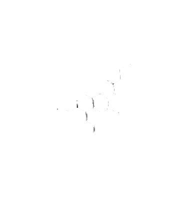 C=C/C=C(/C(=O)OCCC)C1=C(C)C[C@H](NC(=O)CCC#N)B(O)O1